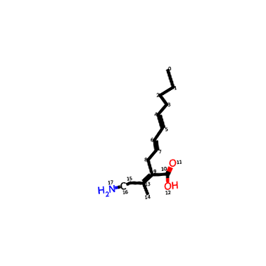 CCCCC=CC=CCC(C(=O)O)=C(C)CCN